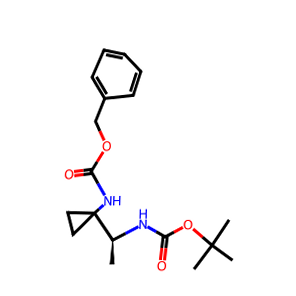 C[C@H](NC(=O)OC(C)(C)C)C1(NC(=O)OCc2ccccc2)CC1